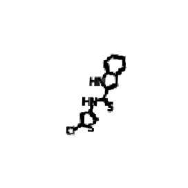 S=C(Nc1csc(Cl)c1)c1cc2ccccc2[nH]1